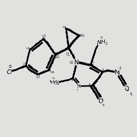 Nc1c(N=O)c(=O)nc(S)n1C1(c2ccc(Cl)cc2)CC1